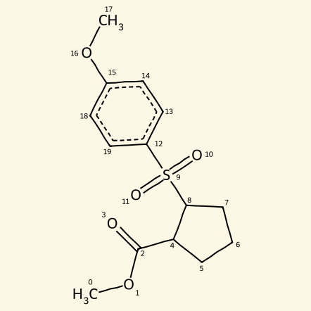 COC(=O)C1CCCC1S(=O)(=O)c1ccc(OC)cc1